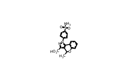 CC1Oc2ccccc2-c2c1c(C(=O)O)nn2-c1ccc(S(N)(=O)=O)cc1